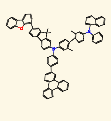 Cc1cc(N(c2ccc(-c3ccc4c5ccccc5c5ccccc5c4c3)cc2)c2ccc3c(c2)C(C)(C)c2cc(-c4cccc5c4oc4ccccc45)ccc2-3)ccc1-c1ccc(N(c2ccccc2)c2cccc3ccccc23)cc1C